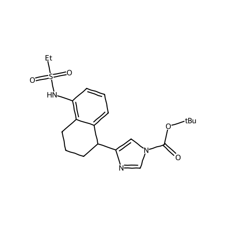 CCS(=O)(=O)Nc1cccc2c1CCCC2c1cn(C(=O)OC(C)(C)C)cn1